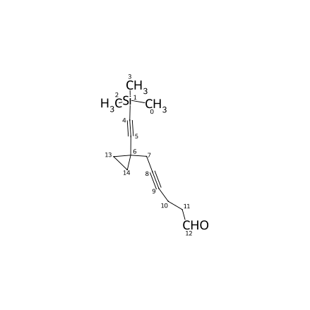 C[Si](C)(C)C#CC1(CC#CCCC=O)CC1